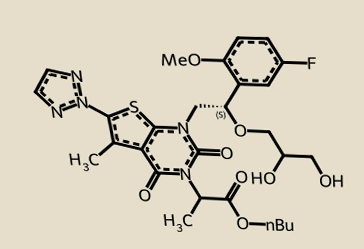 CCCCOC(=O)C(C)n1c(=O)c2c(C)c(-n3nccn3)sc2n(C[C@@H](OCC(O)CO)c2cc(F)ccc2OC)c1=O